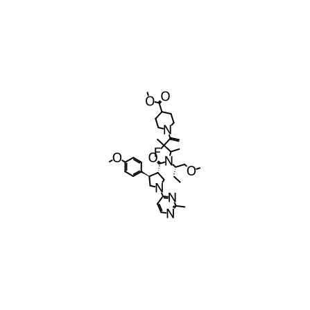 C=C(N1CCC(C(=O)OC)CC1)C(C)(F)C(C)N(C(=O)[C@@H]1CN(c2ccnc(C)n2)C[C@H]1c1ccc(OC)cc1)[C@@H](CC)COC